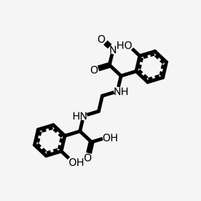 O=NC(=O)C(NCCNC(C(=O)O)c1ccccc1O)c1ccccc1O